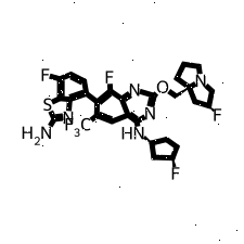 Nc1nc2c(-c3c(C(F)(F)F)cc4c(N[C@H]5CC[C@@H](F)C5)nc(OC[C@@]56CCCN5C[C@H](F)C6)nc4c3F)ccc(F)c2s1